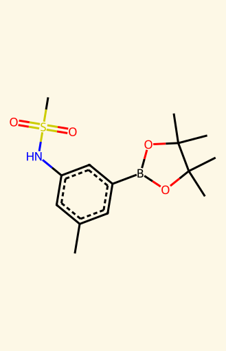 Cc1cc(NS(C)(=O)=O)cc(B2OC(C)(C)C(C)(C)O2)c1